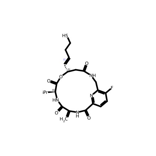 C=C1NC(=O)c2ccc(F)c(n2)CNC(=O)C[C@@H](/C=C/CCS)OC(=O)[C@H](C(C)C)NC1=O